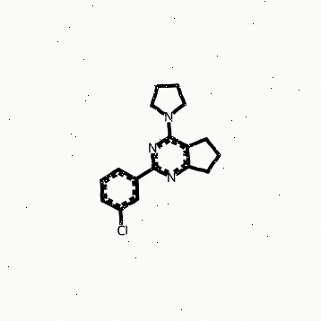 Clc1cccc(-c2nc3c(c(N4CCCC4)n2)CCC3)c1